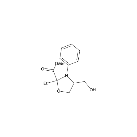 CCC1(C(=O)OC)OCC(CO)N1c1ccccc1